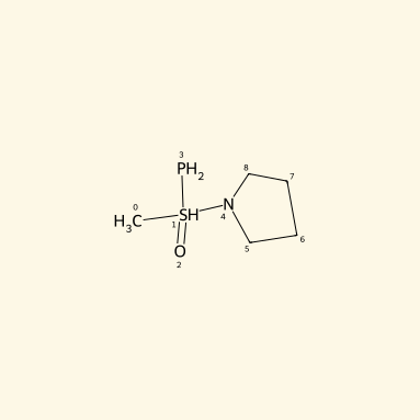 C[SH](=O)(P)N1CCCC1